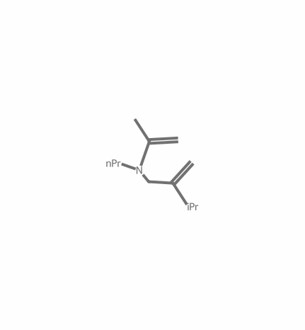 C=C(CN(CCC)C(=C)C)C(C)C